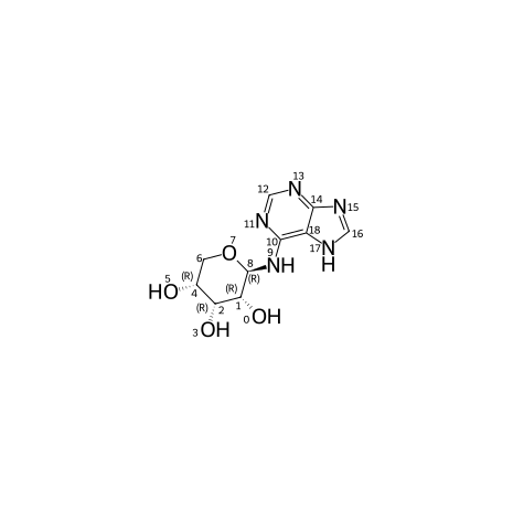 O[C@@H]1[C@H](O)[C@H](O)CO[C@H]1Nc1ncnc2nc[nH]c12